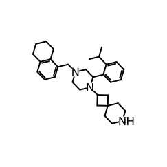 CC(C)c1ccccc1C1CN(Cc2cccc3c2CCCC3)CCN1C1CC2(CCNCC2)C1